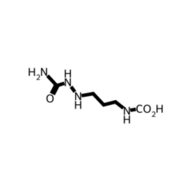 NC(=O)NNCCCNC(=O)O